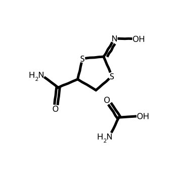 NC(=O)C1CS/C(=N\O)S1.NC(=O)O